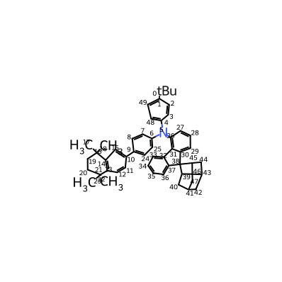 CC(C)(C)c1ccc(N(c2ccc(-c3ccc4c(c3)C(C)(C)CCC4(C)C)cc2)c2cccc3c2-c2ccccc2C32C3CC4CC5CC2C53C4)cc1